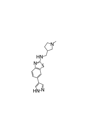 CN1CCC(CNc2nc3ccc(-c4cn[nH]c4)cc3s2)C1